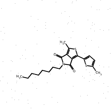 CCCCCCCCN1C(=O)c2c(C)sc(-c3ccc(C)s3)c2C1=O